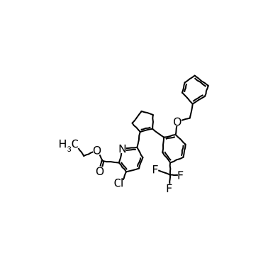 CCOC(=O)c1nc(C2=C(c3cc(C(F)(F)F)ccc3OCc3ccccc3)CCC2)ccc1Cl